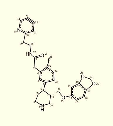 O=C(Cc1cc([C@@H]2CCNC[C@H]2COc2ccc3c(c2)OCO3)ccc1F)NCCc1cc#ccn1